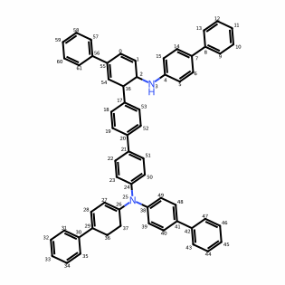 C1=CC(Nc2ccc(-c3ccccc3)cc2)C(c2ccc(-c3ccc(N(C4=CC=C(c5ccccc5)CC4)c4ccc(-c5ccccc5)cc4)cc3)cc2)C=C1c1ccccc1